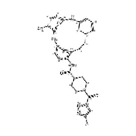 Cc1cc(C(=O)N2CCC(C(=O)Nc3ccc4cc3CCC3C=CC=C(C3)Nc3ncc(Cl)c(n3)N4)CC2)no1